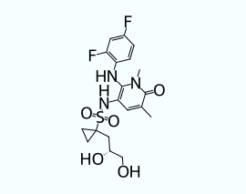 Cc1cc(NS(=O)(=O)C2(C[C@@H](O)CO)CC2)c(Nc2ccc(F)cc2F)n(C)c1=O